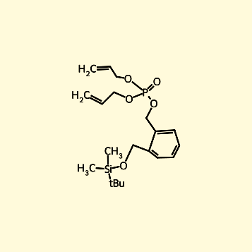 C=CCOP(=O)(OCC=C)OCc1ccccc1CO[Si](C)(C)C(C)(C)C